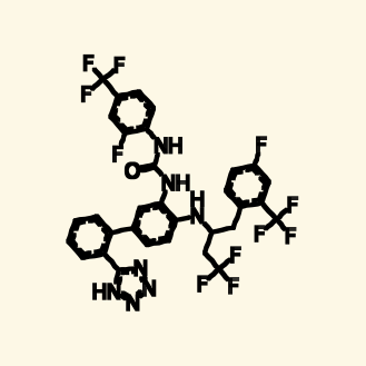 O=C(Nc1ccc(C(F)(F)F)cc1F)Nc1cc(-c2ccccc2-c2nnn[nH]2)ccc1NC(Cc1ccc(F)cc1C(F)(F)F)CC(F)(F)F